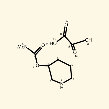 CNC(=O)OC1CCCNC1.O=C(O)C(=O)O